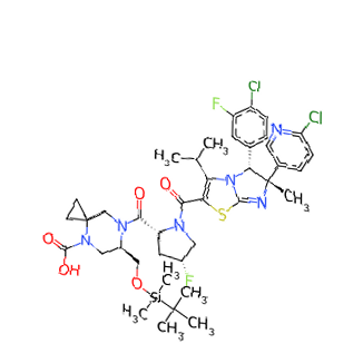 CC(C)C1=C(C(=O)N2C[C@H](F)C[C@@H]2C(=O)N2CC3(CC3)N(C(=O)O)C[C@@H]2CO[Si](C)(C)C(C)(C)C)SC2=N[C@@](C)(c3ccc(Cl)nc3)[C@@H](c3ccc(Cl)c(F)c3)N21